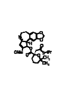 COC1=CC23CCCN2CCc2cc4c(cc2[C@@H]3C1OC(=O)[C@]1(CC(=O)SC(C)C)CCCC(C)(C)O1)OCO4